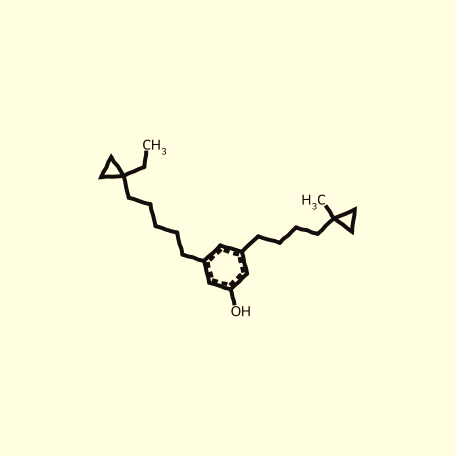 CCC1(CCCCCc2cc(O)cc(CCCCC3(C)CC3)c2)CC1